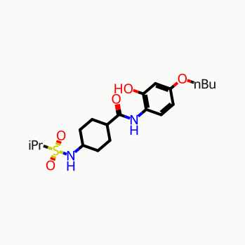 CCCCOc1ccc(NC(=O)C2CCC(NS(=O)(=O)C(C)C)CC2)c(O)c1